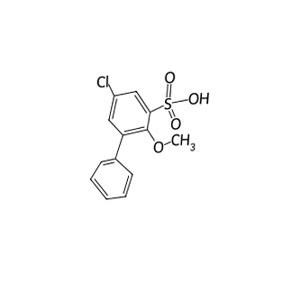 COc1c(-c2ccccc2)cc(Cl)cc1S(=O)(=O)O